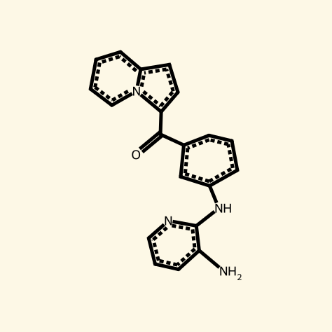 Nc1cccnc1Nc1cccc(C(=O)c2ccc3ccccn23)c1